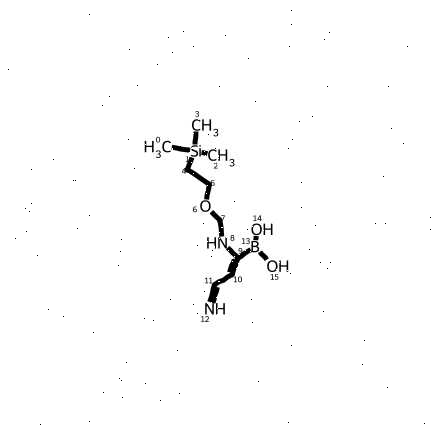 C[Si](C)(C)CCOCN/C(=C\C=N)B(O)O